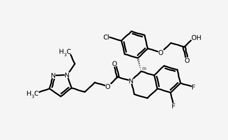 CCn1nc(C)cc1CCOC(=O)N1CCc2c(ccc(F)c2F)[C@H]1c1cc(Cl)ccc1OCC(=O)O